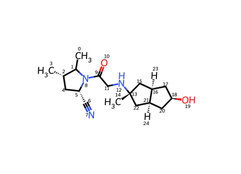 CC1[C@@H](C)C[C@@H](C#N)N1C(=O)CN[C@]1(C)C[C@H]2C[C@@H](O)C[C@H]2C1